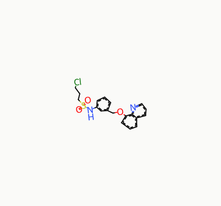 O=S(=O)(CCCCl)Nc1cccc(COc2cccc3cccnc23)c1